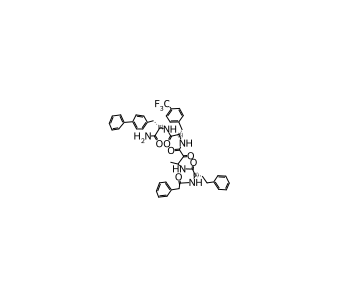 CC(NC(=O)[C@H](CCc1ccccc1)NC(=O)Cc1ccccc1)C(=O)C(=O)N[C@@H](Cc1ccc(C(F)(F)F)cc1)C(=O)N[C@@H](Cc1ccc(-c2ccccc2)cc1)C(N)=O